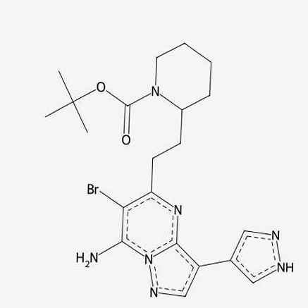 CC(C)(C)OC(=O)N1CCCCC1CCc1nc2c(-c3cn[nH]c3)cnn2c(N)c1Br